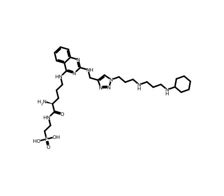 N[C@@H](CCCNc1nc(NCc2cn(CCCNCCCNC3CCCCC3)nn2)nc2ccccc12)C(=O)NCCP(=O)(O)O